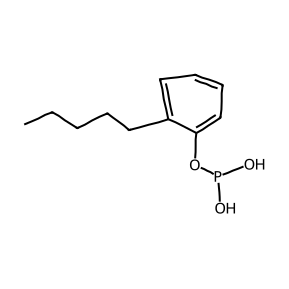 CCCCCc1ccccc1OP(O)O